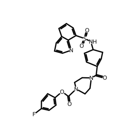 O=C(Oc1ccc(F)cc1)N1CCN(C(=O)C2=CCC(NS(=O)(=O)c3cccc4cccnc34)C=C2)CC1